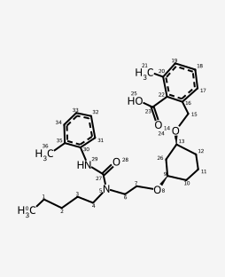 CCCCCN(CCO[C@@H]1CCC[C@H](OCc2cccc(C)c2C(=O)O)C1)C(=O)Nc1ccccc1C